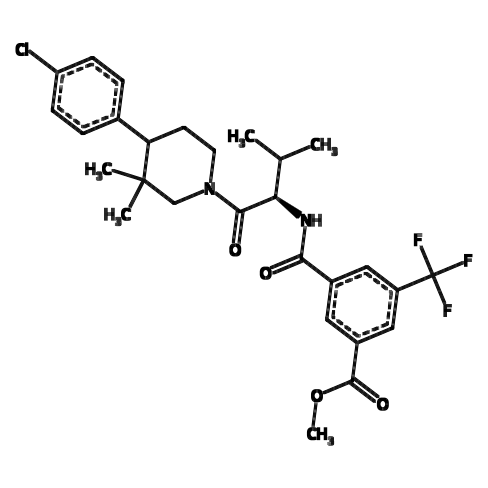 COC(=O)c1cc(C(=O)N[C@@H](C(=O)N2CCC(c3ccc(Cl)cc3)C(C)(C)C2)C(C)C)cc(C(F)(F)F)c1